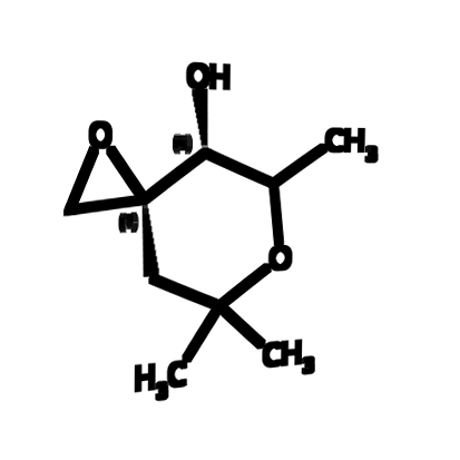 CC1OC(C)(C)C[C@@]2(CO2)[C@@H]1O